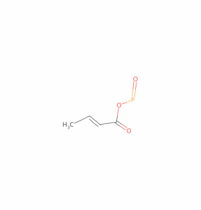 CC=CC(=O)OP=O